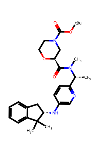 CN(C(=O)[C@@H]1CN(C(=O)OC(C)(C)C)CCO1)[C@@H](c1ccc(N[C@H]2Cc3ccccc3C2(C)C)cn1)C(F)(F)F